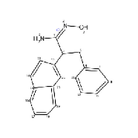 N/C(=N/O)C(Cc1ccccc1)c1ccc2ccccc2c1